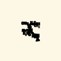 CNc1c(C(N)=O)c(C#Cc2cc3ncn(C4CC4)c3cc2F)nn1[C@H]1C[C@H](COC)N(CC#CC(C)(C)O)C1